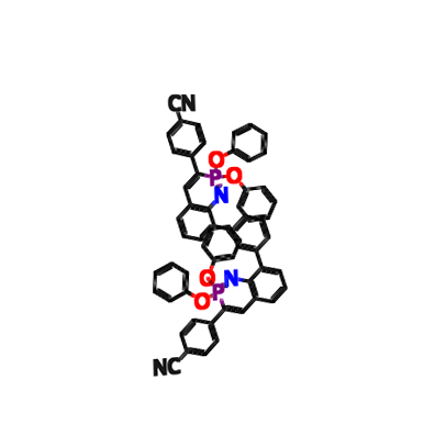 N#Cc1ccc(C2=Cc3cccc(-c4cccc(-c5cccc6c5N=P(Oc5ccccc5)(Oc5ccccc5)C(c5ccc(C#N)cc5)=C6)c4)c3N=P2(Oc2ccccc2)Oc2ccccc2)cc1